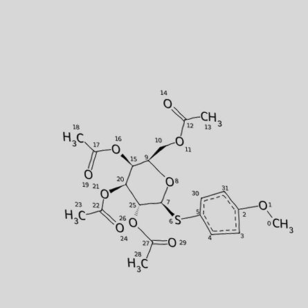 COc1ccc(S[C@@H]2O[C@H](COC(C)=O)[C@H](OC(C)=O)[C@H](OC(C)=O)[C@H]2OC(C)=O)cc1